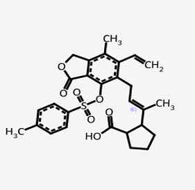 C=Cc1c(C)c2c(c(OS(=O)(=O)c3ccc(C)cc3)c1C/C=C(\C)C1CCCC1C(=O)O)C(=O)OC2